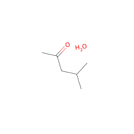 CC(=O)CC(C)C.O